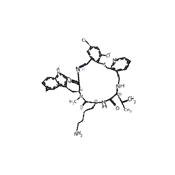 CC(C)[C@@H]1NCc2cccnc2Sc2c(Cl)cc(Cl)cc2/C=N/C(=O)[C@H](Cc2c[nH]c3ccccc23)N(C)C(=O)[C@H](CCCCN)NC1=O